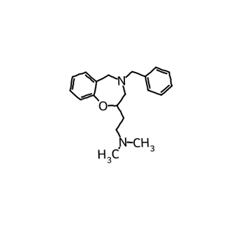 CN(C)CCC1CN(Cc2ccccc2)Cc2ccccc2O1